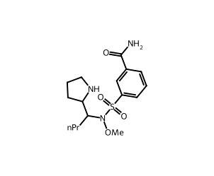 CCCC(C1CCCN1)N(OC)S(=O)(=O)c1cccc(C(N)=O)c1